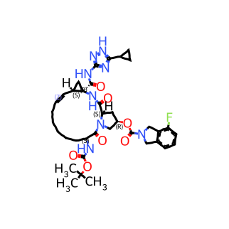 CC(C)(C)OC(=O)N[C@H]1CCCCC/C=C\[C@@H]2C[C@@]2(C(=O)Nc2n[nH]c(C3CC3)n2)NC(=O)[C@@H]2C[C@@H](OC(=O)N3Cc4cccc(F)c4C3)CN2C1=O